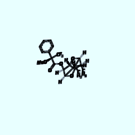 CO[C@@](C(=O)O[C@H]1[C@@H]2O[C@H]3[C@@H](C)[C@@H]2O[C@@H]1[C@H]3C)(c1ccccc1)C(F)(F)F